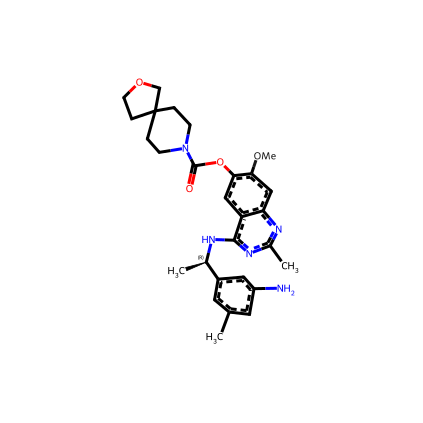 COc1cc2nc(C)nc(N[C@H](C)c3cc(C)cc(N)c3)c2cc1OC(=O)N1CCC2(CCOC2)CC1